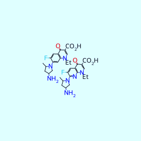 CCn1cc(C(=O)O)c(=O)c2cc(F)c(N3CC(N)CC3C)cc21.CCn1cc(C(=O)O)c(=O)c2cc(F)c(N3CC(N)CC3C)nc21